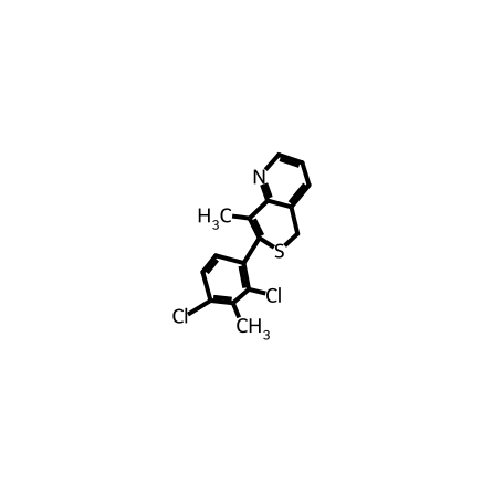 CC1=C(c2ccc(Cl)c(C)c2Cl)SCc2cccnc21